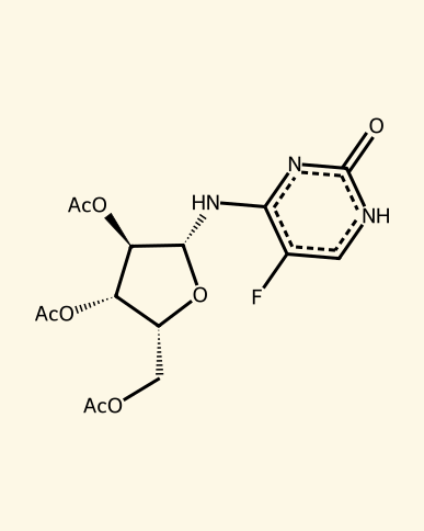 CC(=O)OC[C@H]1O[C@@H](Nc2nc(=O)[nH]cc2F)[C@H](OC(C)=O)[C@H]1OC(C)=O